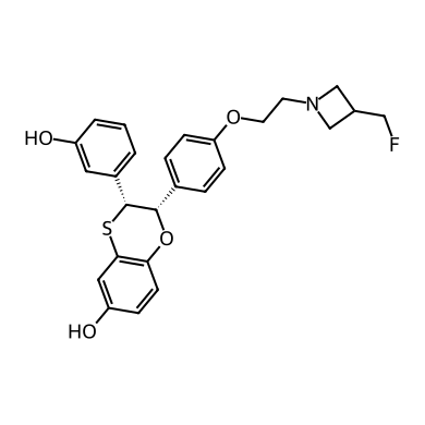 Oc1cccc([C@H]2Sc3cc(O)ccc3O[C@H]2c2ccc(OCCN3CC(CF)C3)cc2)c1